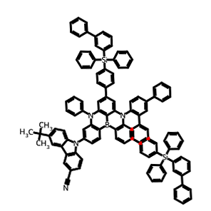 CC(C)(C)c1ccc2c(c1)c1cc(C#N)ccc1n2-c1ccc2c(c1)N(c1ccccc1)c1cc(-c3ccc([Si](c4ccccc4)(c4ccccc4)c4cccc(-c5ccccc5)c4)cc3)cc3c1B2c1ccc(-c2ccc([Si](c4ccccc4)(c4ccccc4)c4cccc(-c5ccccc5)c4)cc2)cc1N3c1ccc(-c2ccccc2)cc1-c1ccccc1